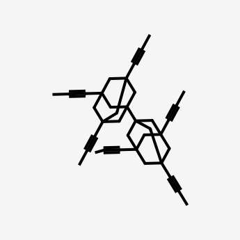 CC#CC12CC3(C#CC)CC(C#CC)(C1)CC(C14CC5(C#CC)CC(C#CC)(CC(C#CC)(C5)C1)C4)(C2)C3